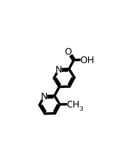 Cc1cccnc1-c1ccc(C(=O)O)nc1